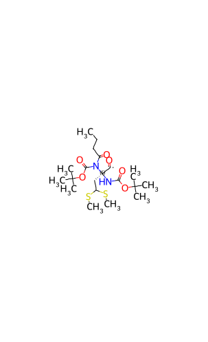 CCCC(=O)N(C(=O)OC(C)(C)C)[C@]([C]=O)(CC(SC)SC)NC(=O)OC(C)(C)C